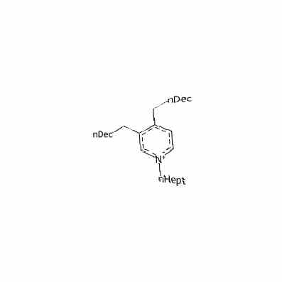 CCCCCCCCCCCc1cc[n+](CCCCCCC)cc1CCCCCCCCCCC